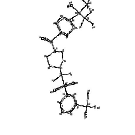 CC(C)(C1CCN(C(=O)c2ccc(C(O)(C(F)(F)F)C(F)(F)F)cc2)CC1)S(=O)(=O)c1cccc(C(F)(F)F)c1